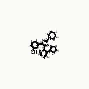 Cc1cccc(-c2nc(N3CCCCC3)sc2-c2n[c]ncc2C2CCCC2)c1